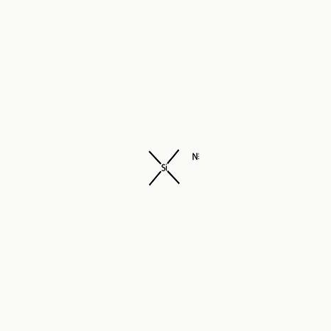 C[Si](C)(C)C.[N]